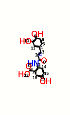 O=C(/C=C/c1ccc(O)c(O)c1)Nc1ccc(O)cc1C(=O)O